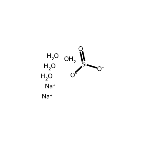 O.O.O.O.O=[Si]([O-])[O-].[Na+].[Na+]